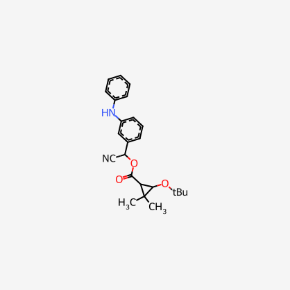 CC(C)(C)OC1C(C(=O)OC(C#N)c2cccc(Nc3ccccc3)c2)C1(C)C